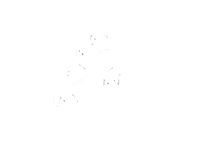 NC(=O)c1ccc(Nc2cc(Oc3cn(C(F)F)nc3C3CCC3)ccn2)cc1